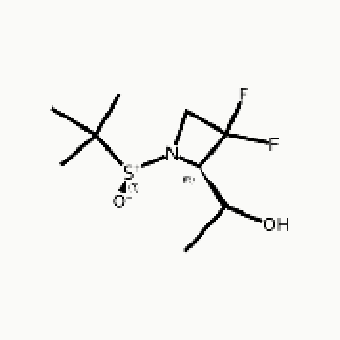 CC(O)[C@H]1N([S@@+]([O-])C(C)(C)C)CC1(F)F